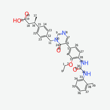 CCOc1cc(-c2cncn(Cc3ccc([C@H](C)CC(=O)O)cc3)c2=O)ccc1NC(=O)Nc1ccccc1C